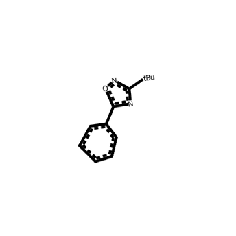 CC(C)(C)c1noc(-c2ccccc2)n1